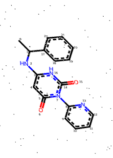 CC(Nc1cc(=O)n(-c2ccccn2)c(=O)[nH]1)c1ccccc1